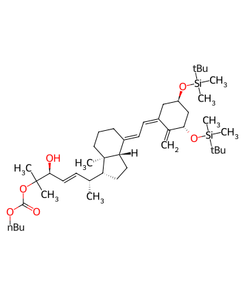 C=C1/C(=C\C=C2/CCC[C@]3(C)[C@@H]([C@H](C)/C=C/[C@H](O)C(C)(C)OC(=O)OCCCC)CC[C@@H]23)C[C@@H](O[Si](C)(C)C(C)(C)C)C[C@@H]1O[Si](C)(C)C(C)(C)C